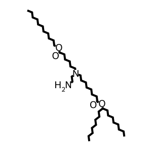 CCCCCCCCCCCOC(=O)CCCCCN(CCN)CCCCCCCC(=O)OC(CCCCCCCC)CCCCCCCC